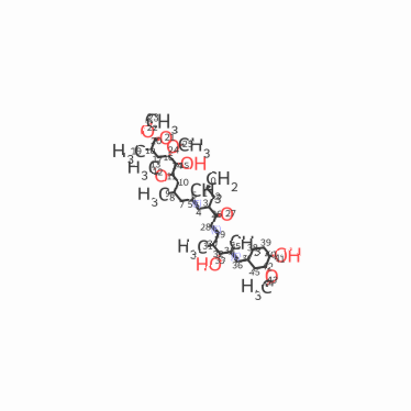 C=CCC(/C=C(\C)CC(C)CC(OC)C(O)C(CC(C)C(=O)OC)OC)C(=O)/C=C/C(C)C(O)/C(C)=C/C1CCC(O)C(OC)C1